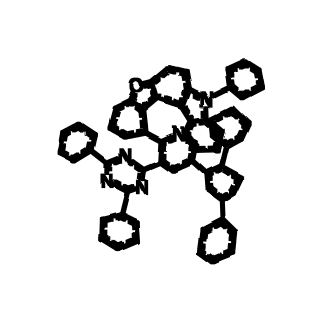 c1ccc(-c2ccc(-c3ccccc3)c(-c3cnc(-c4cccc5oc6ccc7c(c8ccccc8n7-c7ccccc7)c6c45)c(-c4nc(-c5ccccc5)nc(-c5ccccc5)n4)c3)c2)cc1